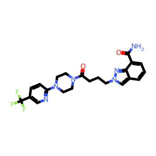 NC(=O)c1cccc2cn(CCCC(=O)N3CCN(c4ccc(C(F)(F)F)cn4)CC3)nc12